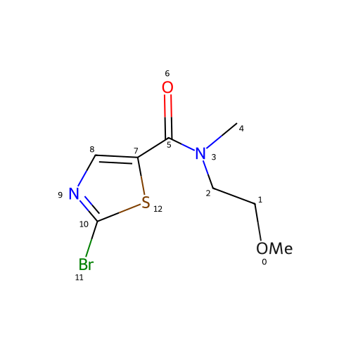 COCCN(C)C(=O)c1cnc(Br)s1